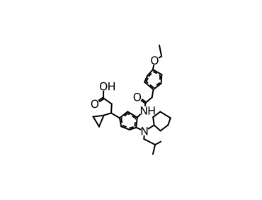 CCOc1ccc(CC(=O)Nc2cc(C(CC(=O)O)C3CC3)ccc2N(CC(C)C)C2CCCCC2)cc1